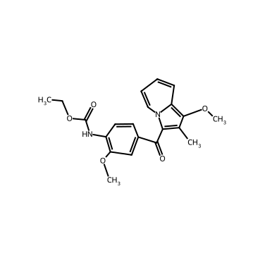 CCOC(=O)Nc1ccc(C(=O)c2c(C)c(OC)c3ccccn23)cc1OC